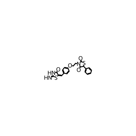 N=C1NC(=O)/C(=C\c2ccc(OCCN3C(=O)SC(c4ccccc4)C3=O)cc2)S1